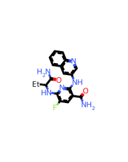 CCC(Nc1nc(Nc2cnc3ccccc3c2)c(C(N)=O)cc1F)C(N)=O